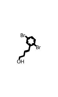 OCCC=Cc1cc(Br)ccc1Br